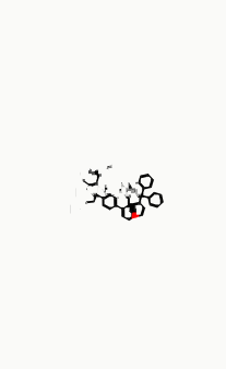 CCCC1(c2ccc(-c3ccccc3-c3nnnn3C(c3ccccc3)(c3ccccc3)c3ccccc3)cc2)NC(CO)=C(C(=O)OCC)N1C